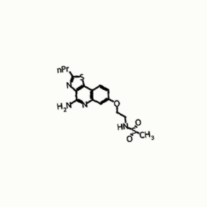 CCCc1nc2c(N)nc3cc(OCCNS(C)(=O)=O)ccc3c2s1